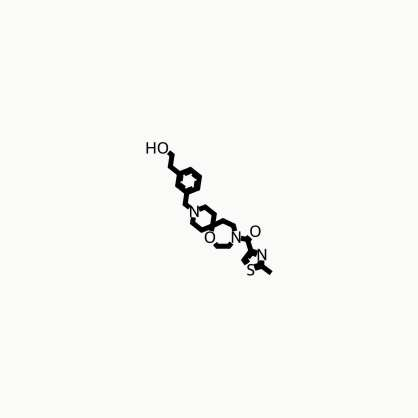 Cc1nc(C(=O)N2CCOC3(CCN(Cc4cccc(CCO)c4)CC3)CC2)cs1